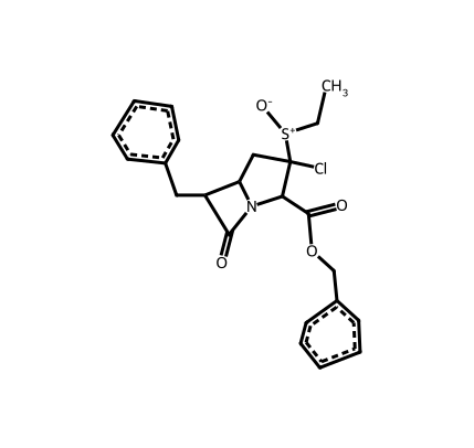 CC[S+]([O-])C1(Cl)CC2C(Cc3ccccc3)C(=O)N2C1C(=O)OCc1ccccc1